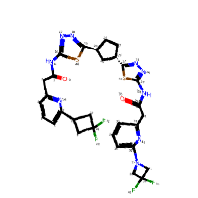 O=C(Cc1cccc(C2CC(F)(F)C2)n1)Nc1nnc([C@H]2CC[C@H](c3nnc(NC(=O)Cc4cccc(N5CC(F)(F)C5)n4)s3)C2)s1